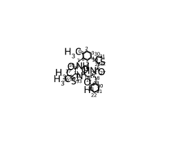 Cc1ccccc1CNC(=O)[C@H]1N(C(=O)[C@@H](O)[C@H](Cc2ccccc2)NC(=O)c2cccs2)CSC1(C)C